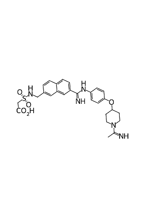 CC(=N)N1CCC(Oc2ccc(NC(=N)c3ccc4ccc(CNS(=O)(=O)CC(=O)O)cc4c3)cc2)CC1